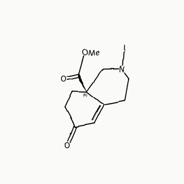 COC(=O)[C@]12CCC(=O)C=C1CCN(I)C2